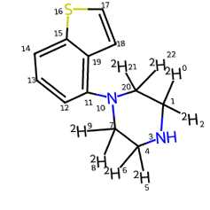 [2H]C1([2H])NC([2H])([2H])C([2H])([2H])N(c2cccc3sccc23)C1([2H])[2H]